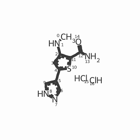 CNc1cc(-c2cn[nH]c2)sc1C(N)=O.Cl.Cl